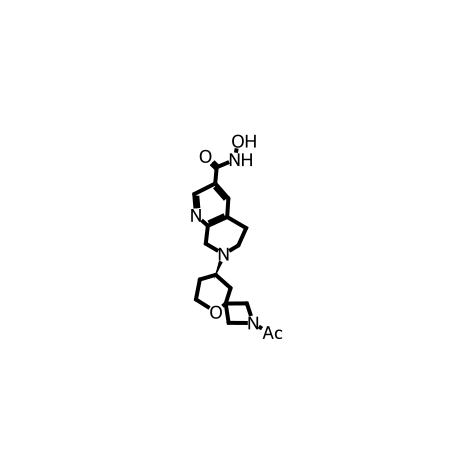 CC(=O)N1CC2(C[C@H](N3CCc4cc(C(=O)NO)cnc4C3)CCO2)C1